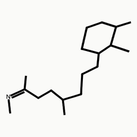 C/N=C(/C)CCC(C)CCCC1CCCC(C)C1C